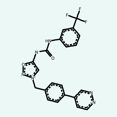 O=C([N-]c1c[n+](Cc2ccc(-c3ccnnc3)cc2)no1)Nc1cccc(C(F)(F)F)c1